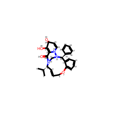 CC(C)[C@H]1/C=C/COc2ccccc2[C@H](c2ccccc2)N2CN1C(=O)c1c(O)c(=O)ccn12